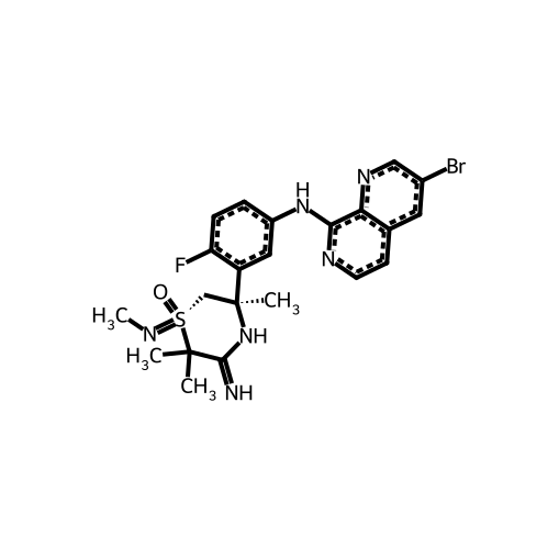 CN=[S@]1(=O)C[C@@](C)(c2cc(Nc3nccc4cc(Br)cnc34)ccc2F)NC(=N)C1(C)C